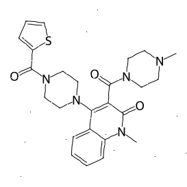 CN1CCN(C(=O)c2c(N3CCN(C(=O)c4cccs4)CC3)c3ccccc3n(C)c2=O)CC1